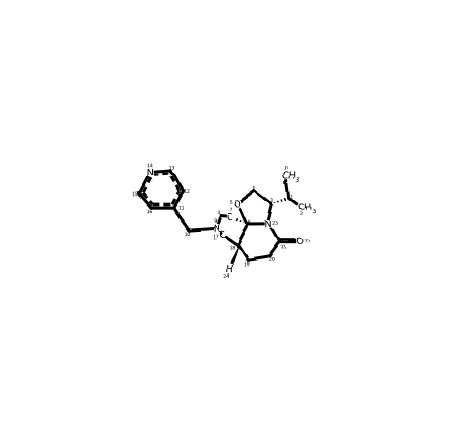 CC(C)[C@H]1CO[C@]23CCN(Cc4ccncc4)C[C@H]2CCC(=O)N13